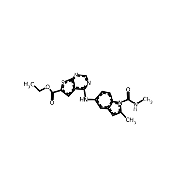 CCOC(=O)c1cc2c(Nc3ccc4c(c3)cc(C)n4C(=O)NC)ncnc2s1